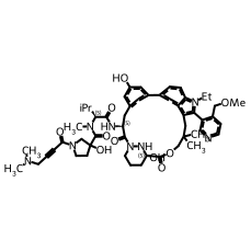 CCn1c(-c2cnccc2COC)c2c3cc(ccc31)-c1cc(O)cc(c1)C[C@H](NC(=O)[C@H](C(C)C)N(C)C(=O)C1(O)CCN(C(=O)C#CCN(C)C)C1)C(=O)N1CCC[C@@](O)(N1)C(=O)OCC(C)(C)C2